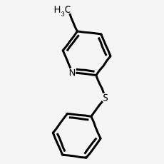 Cc1ccc(Sc2ccccc2)nc1